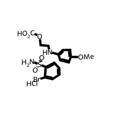 COc1ccc(NCCOC(=O)O)cc1.Cl.NS(=O)(=O)c1ccccc1Br